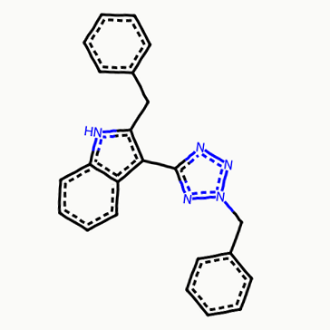 c1ccc(Cc2[nH]c3ccccc3c2-c2nnn(Cc3ccccc3)n2)cc1